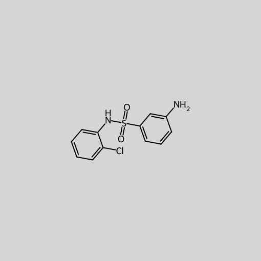 Nc1cccc(S(=O)(=O)Nc2ccccc2Cl)c1